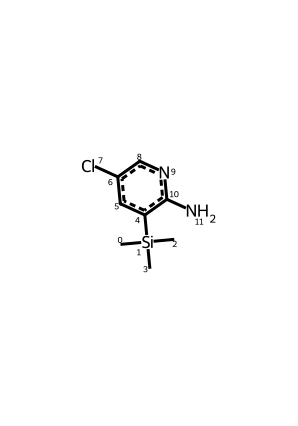 C[Si](C)(C)c1cc(Cl)cnc1N